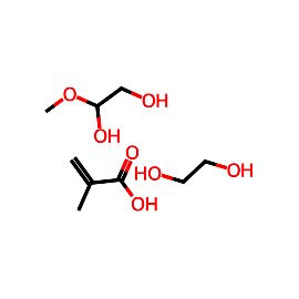 C=C(C)C(=O)O.COC(O)CO.OCCO